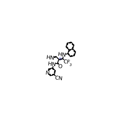 N#Cc1cncc(NC(=O)/C(C=N)=C(/Nc2cccc3ccccc23)C(F)(F)F)c1